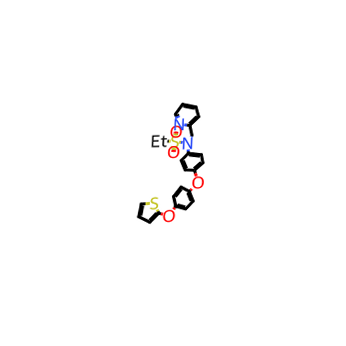 CCS(=O)(=O)N(Cc1ccccn1)c1ccc(Oc2ccc(Oc3cccs3)cc2)cc1